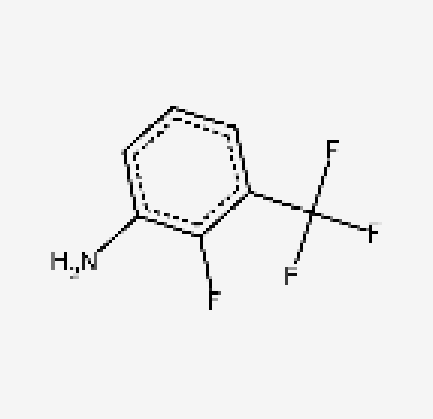 Nc1cccc(C(F)(F)F)c1F